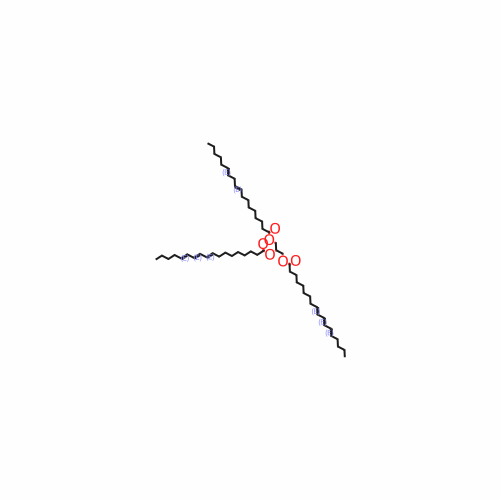 CCCC/C=C/C=C/C=C/CCCCCCCC(=O)OCC(COC(=O)CCCCCCC/C=C/C/C=C/CCCCC)OC(=O)CCCCCCC/C=C/C=C/C=C/CCCC